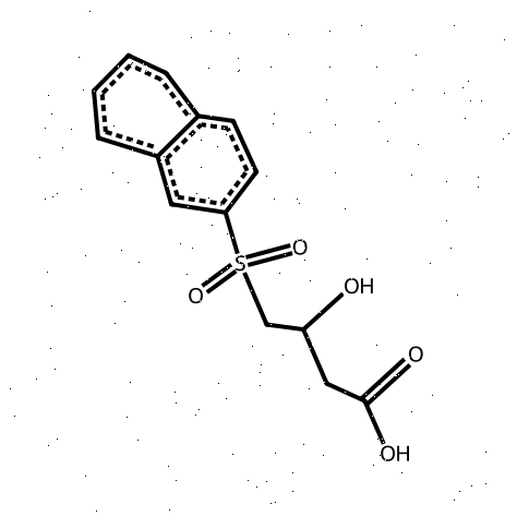 O=C(O)CC(O)CS(=O)(=O)c1ccc2ccccc2c1